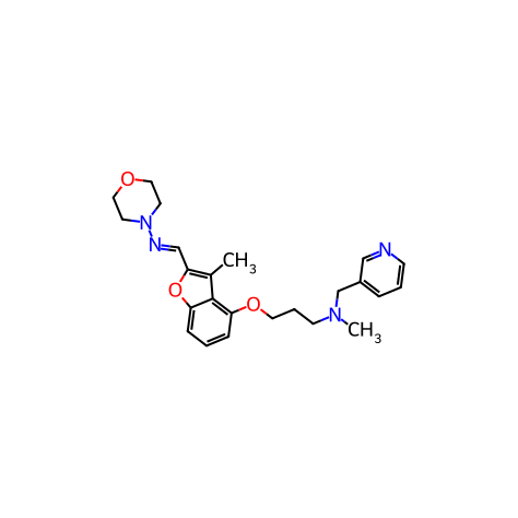 Cc1c(C=NN2CCOCC2)oc2cccc(OCCCN(C)Cc3cccnc3)c12